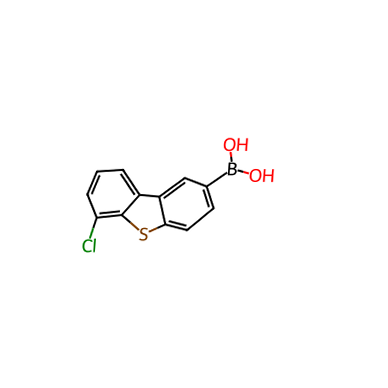 OB(O)c1ccc2sc3c(Cl)cccc3c2c1